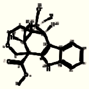 COC(=O)[C@@]12COCC[C@H]3[C@@H]1CC[N@@+](C)([O-])[C@H]3c1c2[nH]c2ccccc12